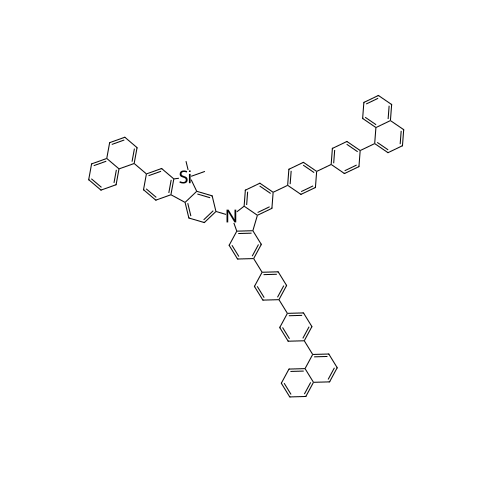 C[Si]1(C)c2cc(-c3cccc4ccccc34)ccc2-c2ccc(-n3c4ccc(-c5ccc(-c6ccc(-c7cccc8ccccc78)cc6)cc5)cc4c4cc(-c5ccc(-c6ccc(-c7cccc8ccccc78)cc6)cc5)ccc43)cc21